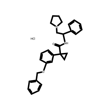 Cl.O=C(NC(CN1CCCC1)c1ccccc1)C1(c2cccc(OCc3ccccc3)c2)CC1